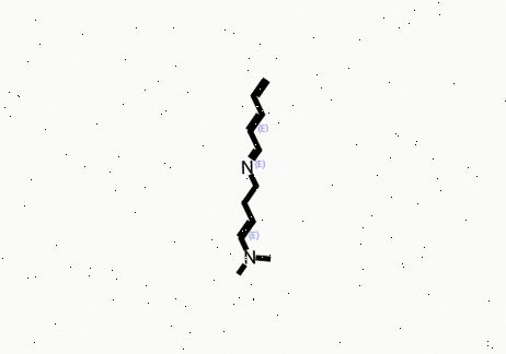 C=C/C=C/C=N/CC/C=C/N(C)C